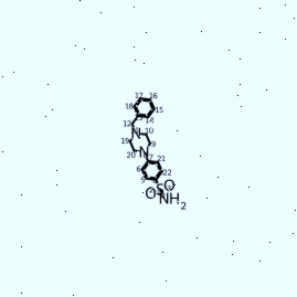 NS(=O)(=O)c1ccc(N2CCN(Cc3ccccc3)CC2)cc1